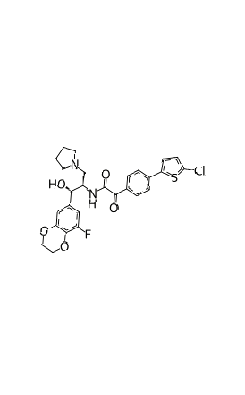 O=C(N[C@H](CN1CCCC1)[C@H](O)c1cc(F)c2c(c1)OCCO2)C(=O)c1ccc(-c2ccc(Cl)s2)cc1